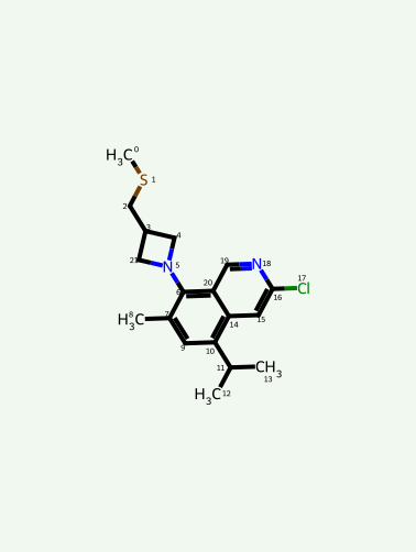 CSCC1CN(c2c(C)cc(C(C)C)c3cc(Cl)ncc23)C1